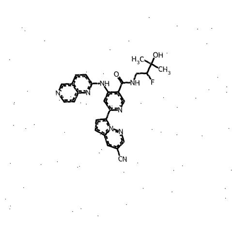 CC(C)(O)C(F)CNC(=O)c1cnc(-c2ccc3cc(C#N)cnn23)cc1Nc1ccc2cnccc2n1